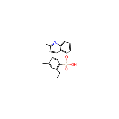 CCc1cc(C)ccc1S(=O)(=O)O.Cc1ccc2ccccc2n1